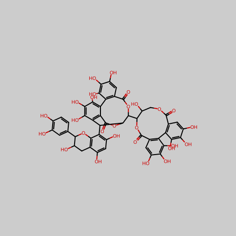 O=C1OCC(O)C(C2OC(=O)c3cc(O)c(O)c(O)c3-c3c(O)c(O)c(O)c4c3C(=O)OC2C4c2c(O)cc(O)c3c2OC(c2ccc(O)c(O)c2)C(O)C3)OC(=O)c2cc(O)c(O)c(O)c2-c2c1cc(O)c(O)c2O